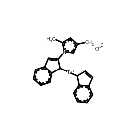 Cc1cc(C)n(C2=Cc3ccccc3[CH]2[Ti+2][CH]2C=Cc3ccccc32)c1.[Cl-].[Cl-]